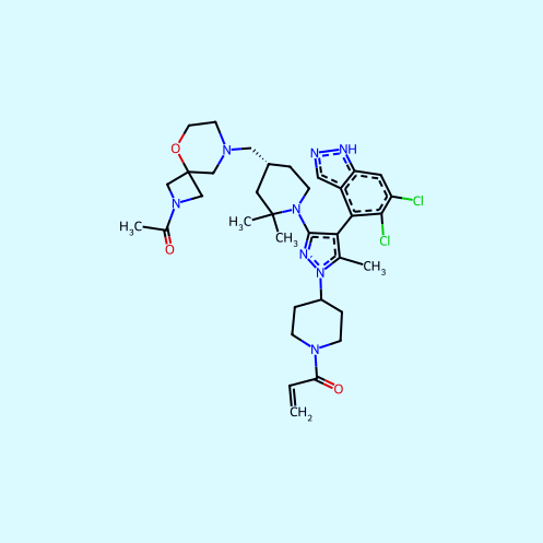 C=CC(=O)N1CCC(n2nc(N3CC[C@@H](CN4CCOC5(C4)CN(C(C)=O)C5)CC3(C)C)c(-c3c(Cl)c(Cl)cc4[nH]ncc34)c2C)CC1